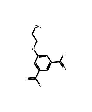 CCCOc1cc(C(=O)Cl)cc(C(=O)Cl)c1